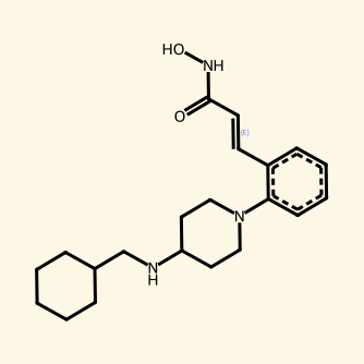 O=C(/C=C/c1ccccc1N1CCC(NCC2CCCCC2)CC1)NO